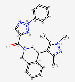 Cc1nn(C)c(C)c1C1CN(C(=O)c2cnn(-c3ccccc3)n2)Cc2ccccc21